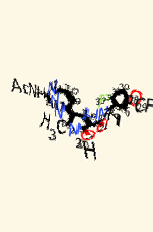 [2H]COc1nc(C)c(-c2ccc3nc(NC(C)=O)cn3n2)cc1C(=O)NC([2H])c1cc(OC(F)(F)F)ccc1F